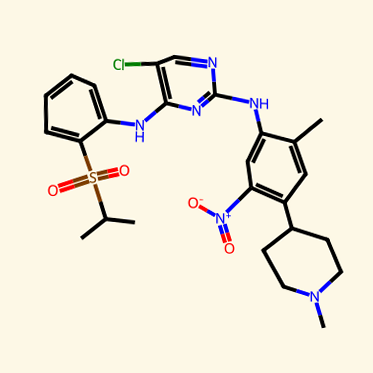 Cc1cc(C2CCN(C)CC2)c([N+](=O)[O-])cc1Nc1ncc(Cl)c(Nc2ccccc2S(=O)(=O)C(C)C)n1